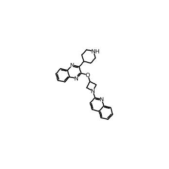 c1ccc2nc(N3CC(Oc4nc5ccccc5nc4C4CCNCC4)C3)ccc2c1